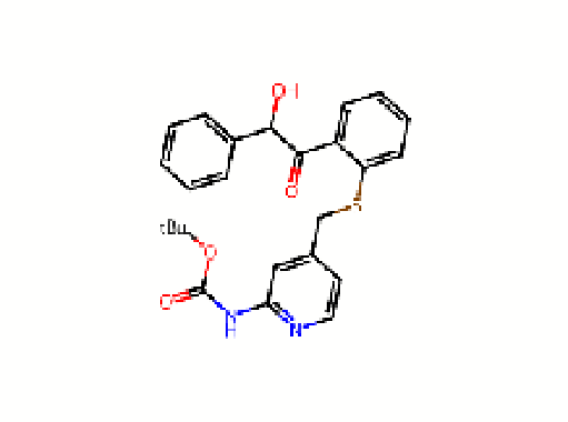 CC(C)(C)OC(=O)Nc1cc(CSc2ccccc2C(=O)C(O)c2ccccc2)ccn1